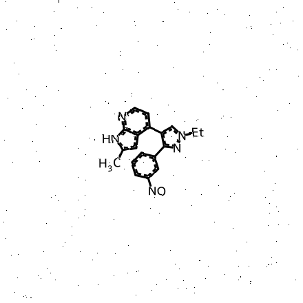 CCn1cc(-c2ccnc3[nH]c(C)cc23)c(-c2cccc(N=O)c2)n1